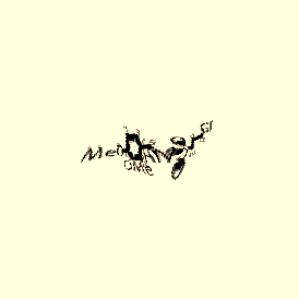 COc1ccc(CNS(=O)(=O)CCCCl)c(OC)c1